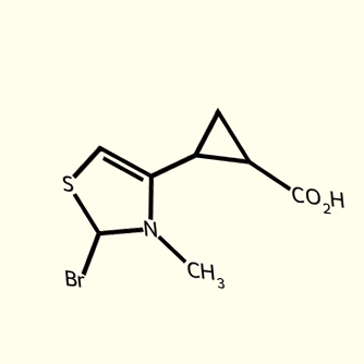 CN1C(C2CC2C(=O)O)=CSC1Br